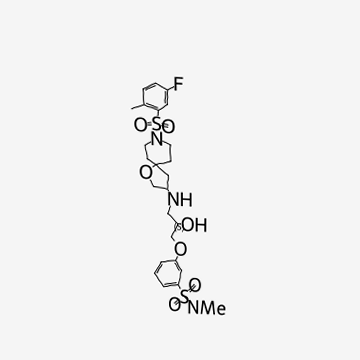 CNS(=O)(=O)c1cccc(OC[C@@H](O)CNC2COC3(CCN(S(=O)(=O)c4cc(F)ccc4C)CC3)C2)c1